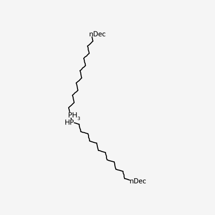 CCCCCCCCCCCCCCCCCCCCCCP[PH3]CCCCCCCCCCCCCCCCCCCCCC